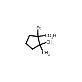 CCC1(C(=O)O)CCCC1(C)C